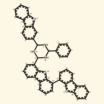 c1ccc(C2NC(c3ccc4c(c3)oc3ccccc34)NC(c3cccc4c3sc3c(-c5cccc6c5oc5ccccc56)cccc34)N2)cc1